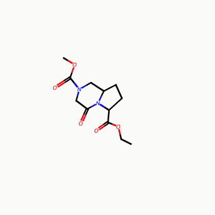 CCOC(=O)C1CCC2CN(C(=O)OC)CC(=O)N21